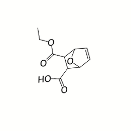 CCOC(=O)C1C2C=CC(O2)C1C(=O)O